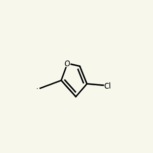 [CH2]c1cc(Cl)co1